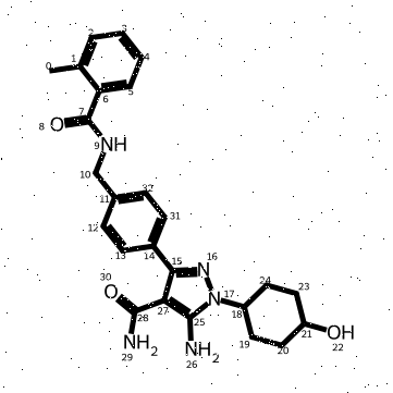 Cc1ccccc1C(=O)NCc1ccc(-c2nn(C3CCC(O)CC3)c(N)c2C(N)=O)cc1